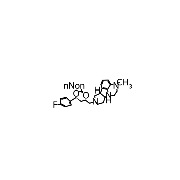 CCCCCCCCCC(=O)O[C@@H](CCCN1CC[C@H]2[C@@H](C1)c1cccc3c1N2CCN3C)c1ccc(F)cc1